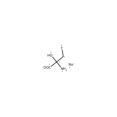 NC(O)(CF)C(=O)[O-].[Na+]